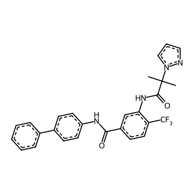 CC(C)(C(=O)Nc1cc(C(=O)Nc2ccc(-c3ccccc3)cc2)ccc1C(F)(F)F)n1cccn1